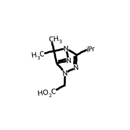 CC(C)C1=NN(CC(=O)O)C2=NN1C2(C)C